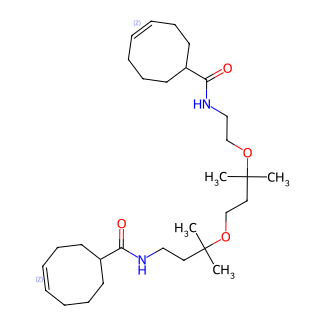 CC(C)(CCNC(=O)C1CC/C=C\CCC1)OCCC(C)(C)OCCNC(=O)C1CC/C=C\CCC1